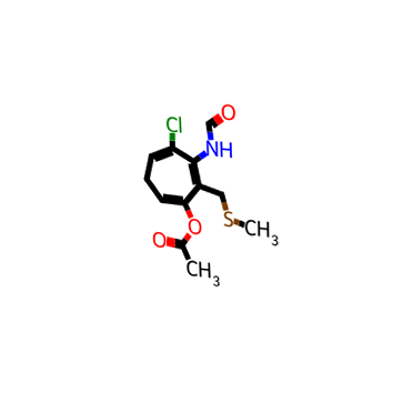 CSCC1=C(NC=O)C(Cl)=CCC=C1OC(C)=O